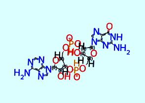 Nc1nc2c(ncn2[C@@H]2O[C@@H]3CO[PH](=O)O[C@H]4[C@@H](O)[C@H](n5cnc6c(N)ncnc65)O[C@@H]4CO[PH](=O)O[C@@H]2[C@@H]3O)c(=O)[nH]1